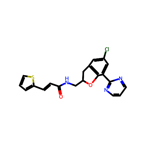 O=C(C=Cc1cccs1)NCC1Cc2cc(Cl)cc(-c3ncccn3)c2O1